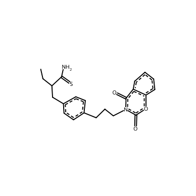 CCC(Cc1ccc(CCCn2c(=O)oc3ccccc3c2=O)cc1)C(N)=S